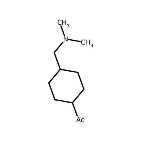 CC(=O)C1CCC(CN(C)C)CC1